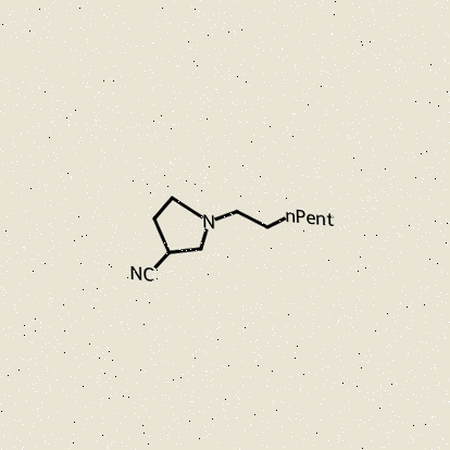 CCCCCCCN1CCC(C#N)C1